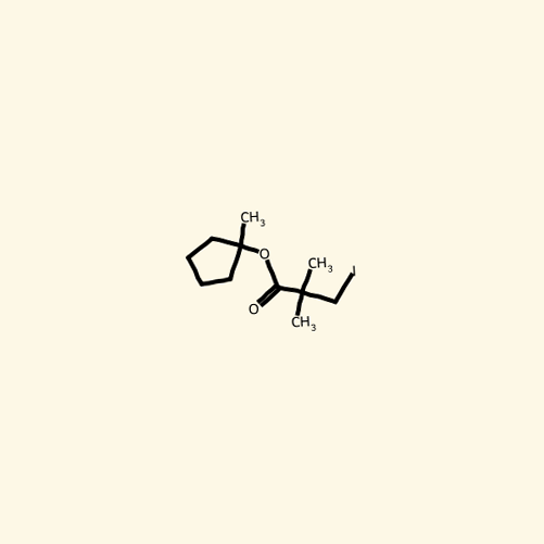 CC1(OC(=O)C(C)(C)CI)CCCC1